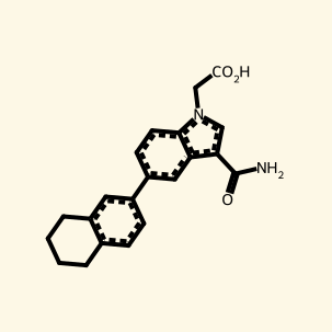 NC(=O)c1cn(CC(=O)O)c2ccc(-c3ccc4c(c3)CCCC4)cc12